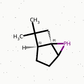 CC1(C)C[C@]23PC2CC[C@@H]13